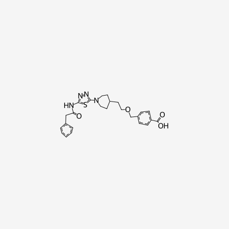 O=C(Cc1ccccc1)Nc1nnc(N2CCC(CCOCc3ccc(C(=O)O)cc3)CC2)s1